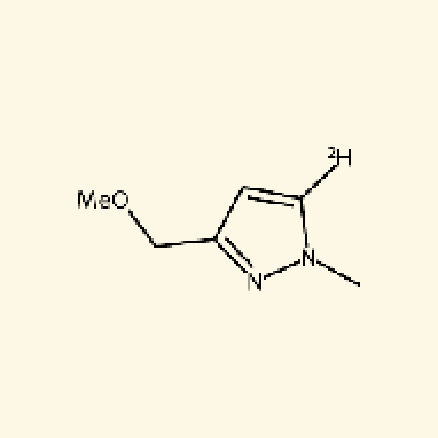 [2H]c1cc(COC)nn1C